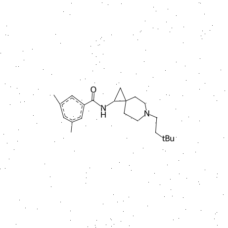 Cc1cc(C)cc(C(=O)NC2CC23CCN(CCC(C)(C)C)CC3)c1